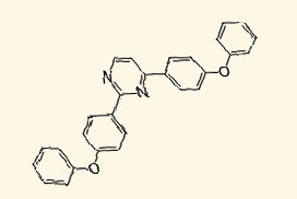 c1ccc(Oc2ccc(-c3ccnc(-c4ccc(Oc5ccccc5)cc4)n3)cc2)cc1